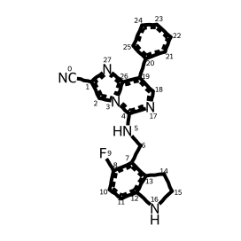 N#Cc1cn2c(NCc3c(F)ccc4c3CCN4)ncc(-c3ccccc3)c2n1